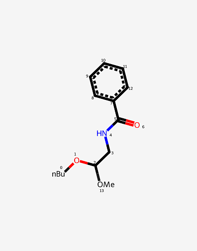 CCCCOC(CNC(=O)c1ccccc1)OC